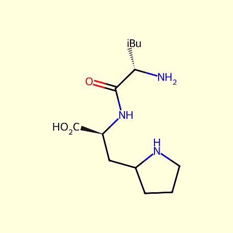 CCC(C)[C@H](N)C(=O)N[C@@H](CC1CCCN1)C(=O)O